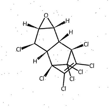 ClC1=C(Cl)[C@]2(Cl)[C@@H]3[C@@H](Cl)[C@@H]4O[C@@H]4[C@@H]3[C@@]1(Cl)C2(Cl)Cl